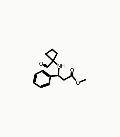 COC(=O)CC(NC1(C=O)CCC1)c1ccccc1